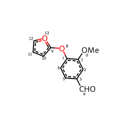 COc1cc(C=O)ccc1Oc1ccco1